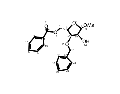 CO[C@H]1O[C@@H](COC(=O)c2ccccc2)[C@H](OCc2ccccc2)[C@@H]1O